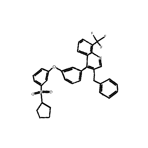 O=S(=O)(c1cccc(Oc2cccc(-c3c(Cc4ccccc4)cnc4c(C(F)(F)F)cccc34)c2)c1)C1CCCC1